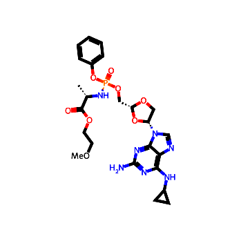 COCCOC(=O)[C@H](C)N[P@](=O)(OC[C@@H]1OC[C@H](n2cnc3c(NC4CC4)nc(N)nc32)O1)Oc1ccccc1